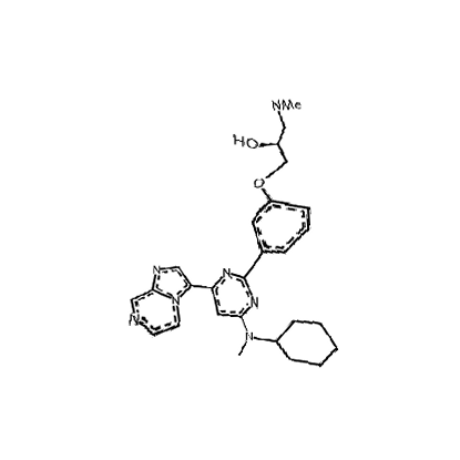 CNC[C@H](O)COc1cccc(-c2nc(-c3cnc4cnccn34)cc(N(C)C3CCCCC3)n2)c1